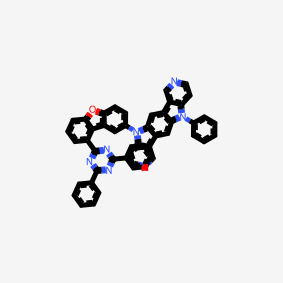 c1ccc(-c2nc(-c3ccccc3)nc(-c3cccc4oc5ccc(-n6c7ccncc7c7cc8c(cc76)c6cnccc6n8-c6ccccc6)cc5c34)n2)cc1